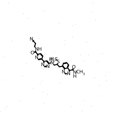 CNC(=O)c1ncnc2c(CC(CNc3cc(-c4ccc(C(=O)NCCC#N)nc4)ncn3)SC)cccc12